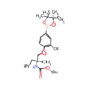 CC(C)CC(C)(COc1ccc(B2OC(C)(C)C(C)(C)O2)cc1C#N)NC(=O)OC(C)(C)C